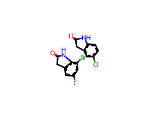 O=C1Cc2cc(Cl)cc(Br)c2N1.O=C1Cc2cc(Cl)ccc2N1